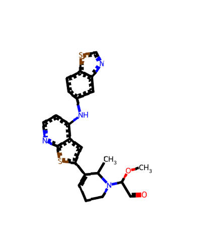 COC(C=O)N1CCC=C(c2cc3c(Nc4ccc5scnc5c4)ccnc3s2)C1C